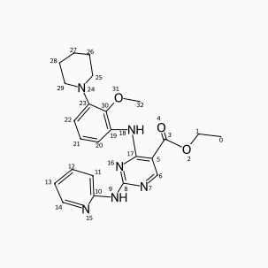 CCOC(=O)c1cnc(Nc2ccccn2)nc1Nc1cccc(N2CCCCC2)c1OC